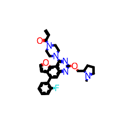 C=CC(=O)N1CCN(c2nc(OCC3CCCN3C)nc3cc(-c4ccccc4F)c4ccoc4c23)CC1